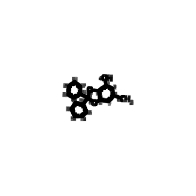 Cc1cc(O)c2c(c1)OC(c1ccccc1)(c1ccccc1)O2